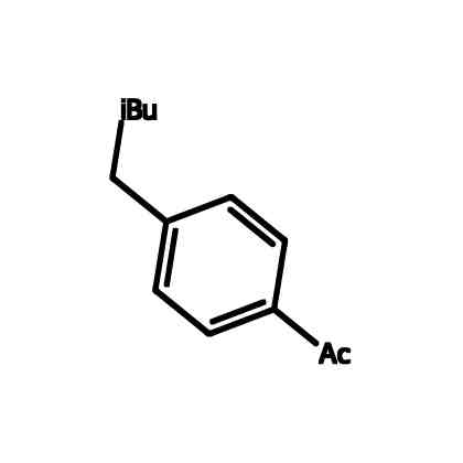 CCC(C)Cc1ccc(C(C)=O)cc1